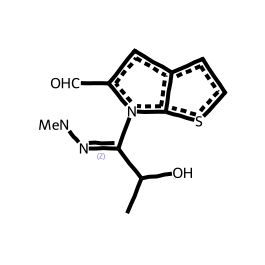 CN/N=C(/C(C)O)n1c(C=O)cc2ccsc21